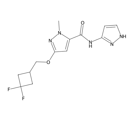 Cn1nc(OCC2CC(F)(F)C2)cc1C(=O)Nc1cc[nH]n1